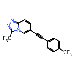 FC(F)(F)c1ccc(C#Cc2ccc3nnc(C(F)(F)F)n3c2)cc1